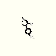 CN(C)/C=C(/C#N)C(=O)c1ccc([N+](=O)[O-])cc1